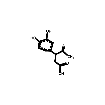 CC(=O)C(CC(=O)O)c1ccc(O)c(O)c1